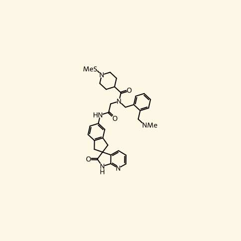 CNCc1ccccc1CN(CC(=O)Nc1ccc2c(c1)CC1(C2)C(=O)Nc2ncccc21)C(=O)C1CCN(SC)CC1